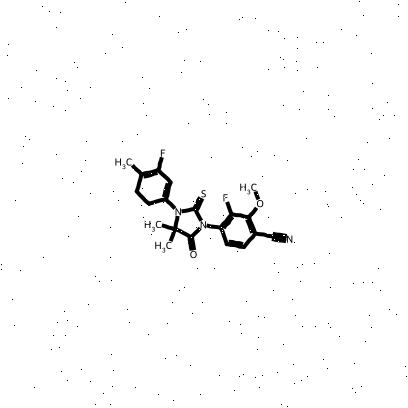 COc1c(C#N)ccc(N2C(=O)C(C)(C)N(C3=CC(F)=C(C)CC3)C2=S)c1F